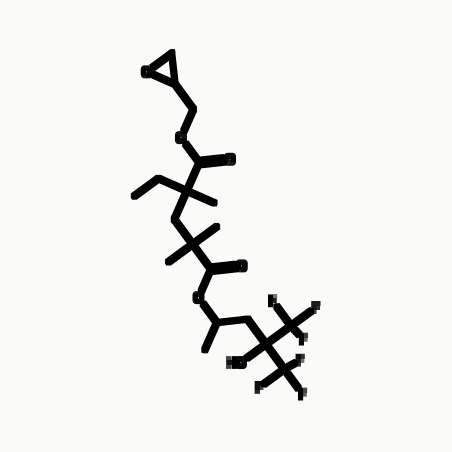 CCC(C)(CC(C)(C)C(=O)OC(C)CC(O)(C(F)(F)F)C(F)(F)F)C(=O)OCC1CO1